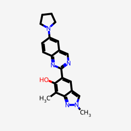 Cc1c(O)c(-c2ncc3cc(N4CCCC4)ccc3n2)cc2cn(C)nc12